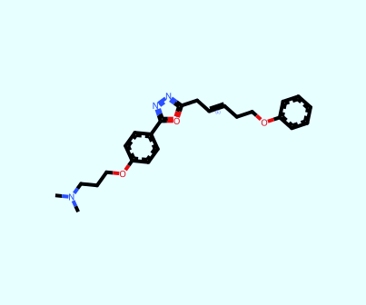 CN(C)CCCOc1ccc(-c2nnc(C/C=C/CCOc3ccccc3)o2)cc1